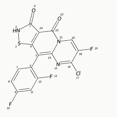 O=c1[nH]sc2c(-c3ccc(F)cc3F)c3nc(Cl)c(F)cn3c(=O)c12